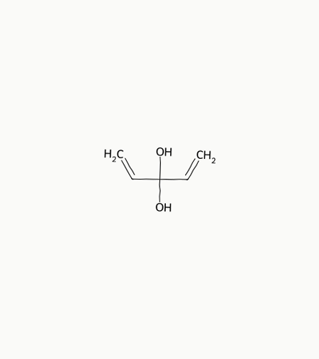 C=CC(O)(O)C=C